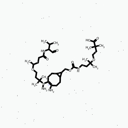 CC(CCC(=O)NC(C=O)C(C)C)OCCC(C)(C)N(N)/C1=C(\N)CCC2C(CC1)C2COC(=O)NCCC(C)(C)OCCC(C)(C)C(=O)O